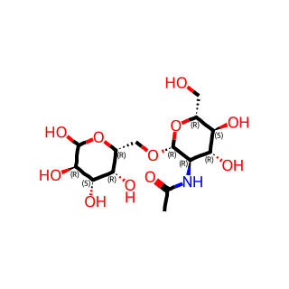 CC(=O)N[C@H]1[C@H](OC[C@H]2OC(O)[C@H](O)[C@@H](O)[C@H]2O)O[C@H](CO)[C@@H](O)[C@@H]1O